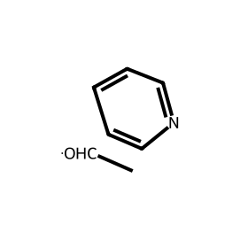 C[C]=O.c1ccncc1